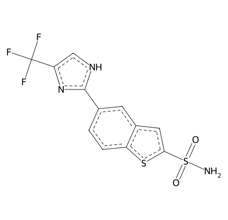 NS(=O)(=O)c1cc2cc(-c3nc(C(F)(F)F)c[nH]3)ccc2s1